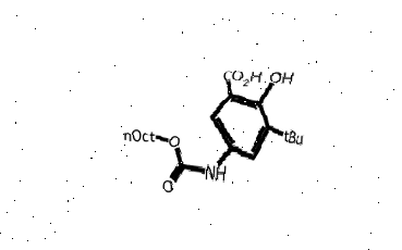 CCCCCCCCOC(=O)Nc1cc(C(=O)O)c(O)c(C(C)(C)C)c1